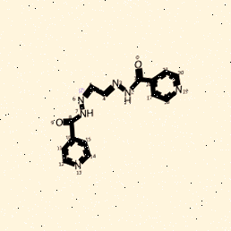 O=C(NN=C/C=N\NC(=O)c1ccncc1)c1ccncc1